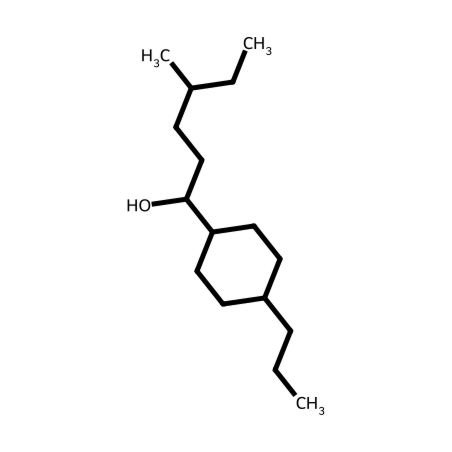 CCCC1CCC(C(O)CCC(C)CC)CC1